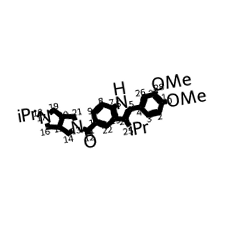 COc1ccc(-c2[nH]c3ccc(C(=O)N4CC5CN(C(C)C)CC5C4)cc3c2C(C)C)cc1OC